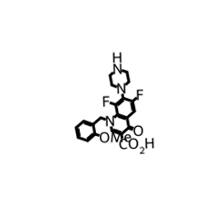 COc1ccccc1Cn1cc(C(=O)O)c(=O)c2cc(F)c(N3CCNCC3)c(F)c21